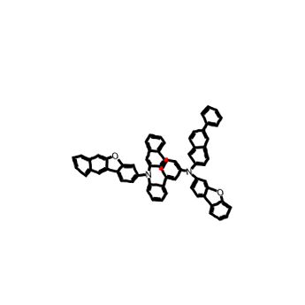 c1ccc(-c2ccc3cc(N(c4cccc(-c5ccccc5N(c5ccc6ccccc6c5)c5ccc6c(c5)oc5cc7ccccc7cc56)c4)c4ccc5c(c4)oc4ccccc45)ccc3c2)cc1